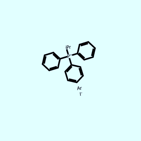 CC(C)[P+](c1ccccc1)(c1ccccc1)c1ccccc1.[Ar].[I-]